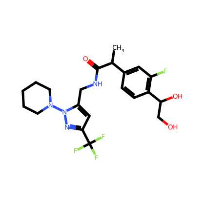 CC(C(=O)NCc1cc(C(F)(F)F)nn1N1CCCCC1)c1ccc(C(O)CO)c(F)c1